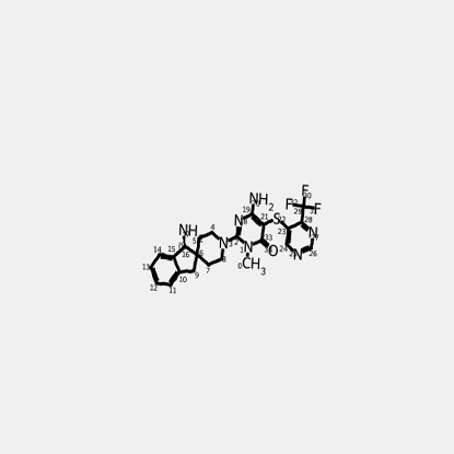 Cn1c(N2CCC3(CC2)Cc2ccccc2[C@H]3N)nc(N)c(Sc2cncnc2C(F)(F)F)c1=O